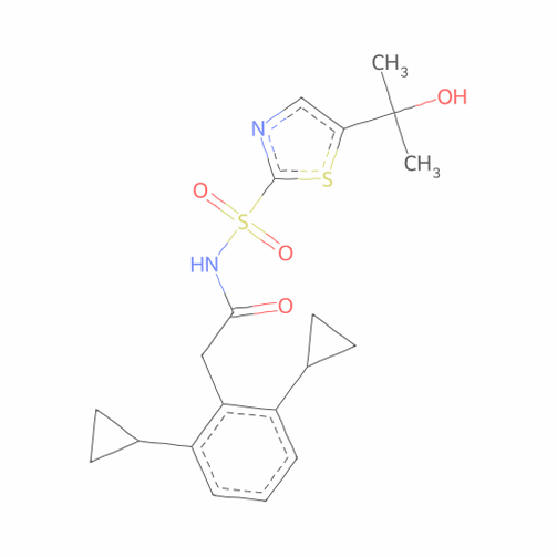 CC(C)(O)c1cnc(S(=O)(=O)NC(=O)Cc2c(C3CC3)cccc2C2CC2)s1